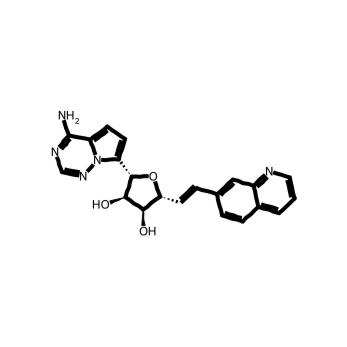 Nc1ncnn2c([C@@H]3O[C@H](/C=C/c4ccc5cccnc5c4)[C@@H](O)[C@H]3O)ccc12